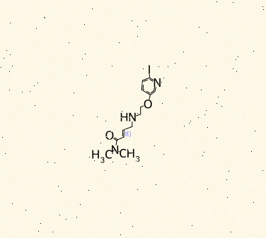 CN(C)C(=O)/C=C/CNCCOc1ccc(I)nc1